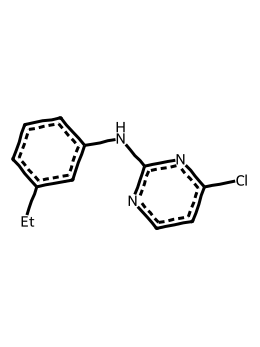 CCc1cccc(Nc2nccc(Cl)n2)c1